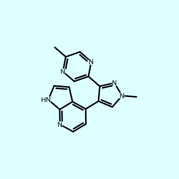 Cc1cnc(-c2nn(C)cc2-c2ccnc3[nH]ccc23)cn1